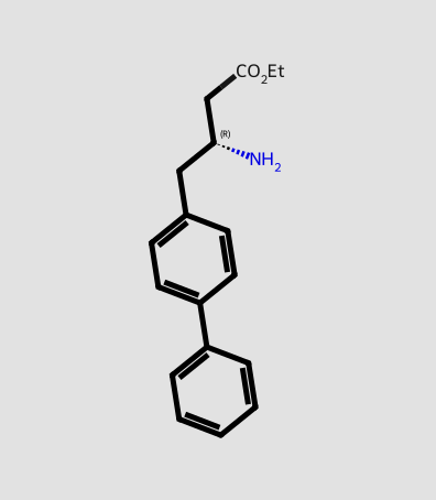 CCOC(=O)C[C@H](N)Cc1ccc(-c2ccccc2)cc1